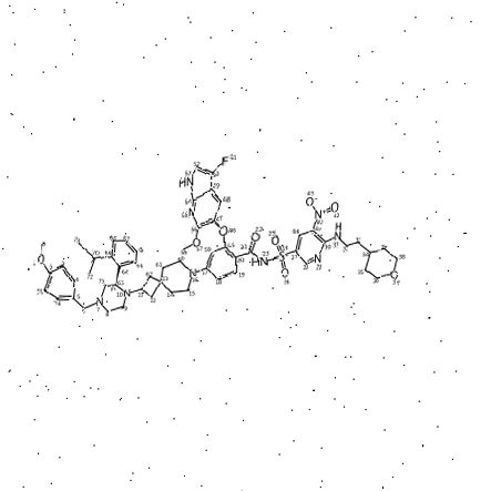 COc1ccc(CN2CCN(C3CC4(CCN(c5ccc(C(=O)NS(=O)(=O)c6cnc(NCCC7CCOCC7)c([N+](=O)[O-])c6)c(Oc6cc7c(F)c[nH]c7nc6OC)c5)CC4)C3)[C@H](c3ccccc3C(C)C)C2)cc1